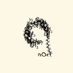 CCCCCCCC/C=C/CCCCCCCCOC(=O)O[C@H]1CC[C@@]2(C)C(=CC[C@@]3(C)[C@@H]4CC[C@H]([C@H](C)CCCC(C)C)[C@@]4(C)CC[C@@H]32)C1.CCCCCCCCC(=O)O[C@H]1CC[C@@]2(C)C(=CC[C@H]3[C@@H]4CC[C@H]([C@H](C)CCCC(C)C)[C@@]4(C)CC[C@@H]32)C1